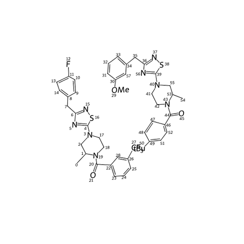 CC1CN(c2nc(Cc3ccc(F)cc3)ns2)CCN1C(=O)c1cccc(C(F)(F)F)c1.COc1cccc(Cc2nsc(N3CCN(C(=O)c4ccc(C(C)(C)C)cc4)C(C)C3)n2)c1